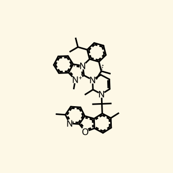 Cc1ccc2c(n1)oc1ccc(C)c(C(C)(C)N3C=C[C@@H](C)N(c4n(-c5c(C(C)C)cccc5C(C)C)c5ccccc5[n+]4C)C3C)c12